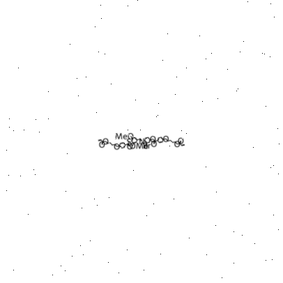 C=CC(=O)OCCCCOc1ccc(C(=O)Oc2ccc(/N=C/c3cc(OC)c(SC(=O)c4ccc(OCCCCOC(=O)C=C)cc4)c(OC)c3)c(Br)c2)cc1